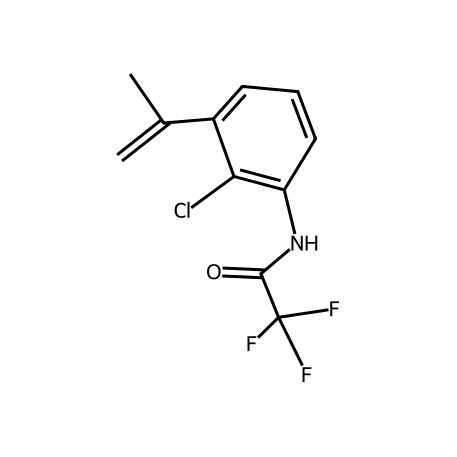 C=C(C)c1cccc(NC(=O)C(F)(F)F)c1Cl